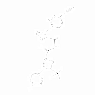 C=C(NC(=O)c1cc(C(F)(F)F)n(-c2ccc(F)cc2)n1)c1ncnn1-c1ccc(C#N)cn1